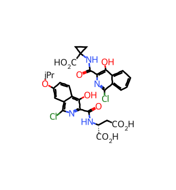 CC(C)Oc1ccc2c(O)c(C(=O)N[C@H](CC(=O)O)C(=O)O)nc(Cl)c2c1.O=C(NC1(C(=O)O)CC1)c1nc(Cl)c2ccccc2c1O